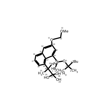 CBB(OC(C)(C)C(C)(C)C)c1cc(OCOC)cc2cccc(C(C)(CCC)C(O)(O)O)c12